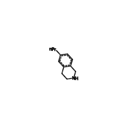 CCCc1ccc2c(c1)CCNC2